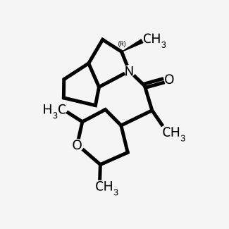 CC1CC(C(C)C(=O)N2C3CCCC3C[C@H]2C)CC(C)O1